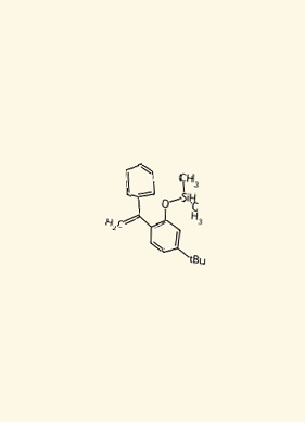 C=C(c1ccccc1)c1ccc(C(C)(C)C)cc1O[SiH](C)C